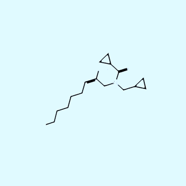 CCCCCC/C=C(/C)CN(CC1CC1)C(=O)C1CC1